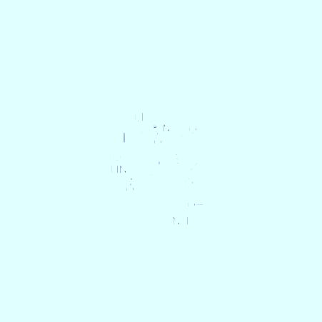 CC(C)NCC(O)COc1ccc(COCCOC(C)C)cc1.NS(=O)(=O)c1cc(C2(O)NC(=O)c3ccccc32)ccc1Cl